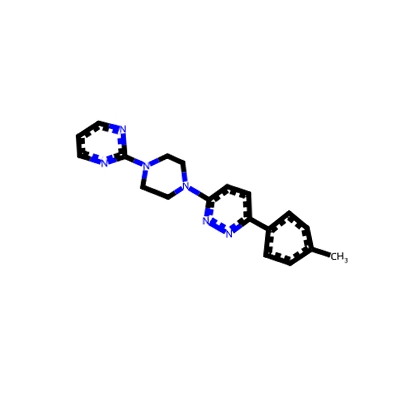 Cc1ccc(-c2ccc(N3CCN(c4ncccn4)CC3)nn2)cc1